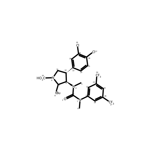 CN(C(=O)N(C)[C@H]1C(C(C)(C)C)N(C(=O)O)C[C@@H]1c1ccc(Cl)c(Cl)c1)c1cc(C(F)(F)F)cc(C(F)(F)F)c1